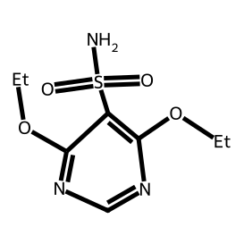 CCOc1ncnc(OCC)c1S(N)(=O)=O